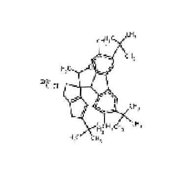 Cc1cc2c(cc1C(C)(C)C)-c1cc(C(C)(C)C)c(C)cc1C2C1(C(C)C)CCC2=C1C=C(C(C)(C)C)C2.[Cl-].[Cl-].[Zr+2]